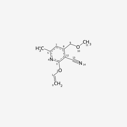 C=COc1nc(C)cc(COC)c1C#N